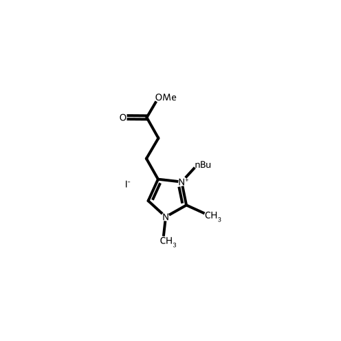 CCCC[n+]1c(CCC(=O)OC)cn(C)c1C.[I-]